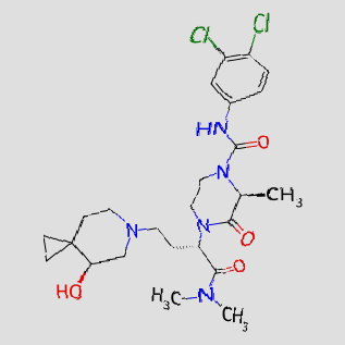 C[C@H]1C(=O)N([C@@H](CCN2CCC3(CC3)[C@H](O)C2)C(=O)N(C)C)CCN1C(=O)Nc1ccc(Cl)c(Cl)c1